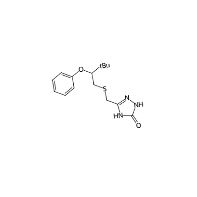 CC(C)(C)C(CSCc1n[nH]c(=O)[nH]1)Oc1ccccc1